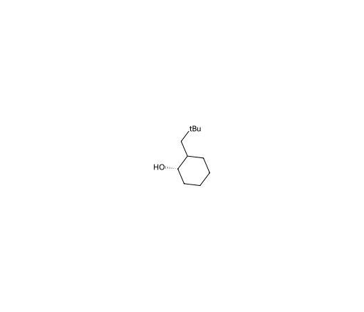 CC(C)(C)CC1CCCC[C@@H]1O